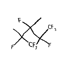 CC(F)(C(F)(F)F)C(C)(F)C(C)(F)C(F)(F)F